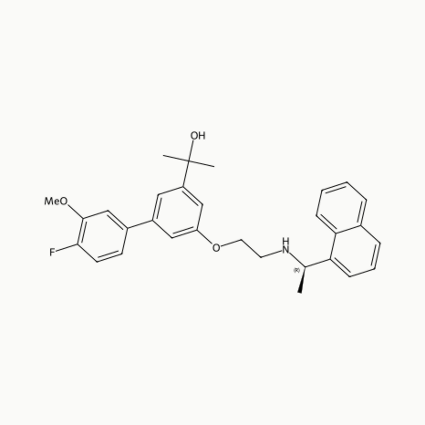 COc1cc(-c2cc(OCCN[C@H](C)c3cccc4ccccc34)cc(C(C)(C)O)c2)ccc1F